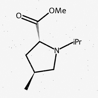 COC(=O)[C@H]1C[C@H](C)CN1C(C)C